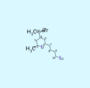 CC(I)CC(CCCCCCI)[C@@H](C)C(C)C